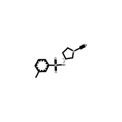 Cc1cccc(S(=O)(=O)N[C@@H]2CCN(C#N)C2)c1